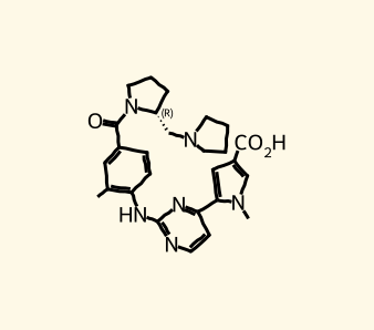 Cc1cc(C(=O)N2CCC[C@@H]2CN2CCCC2)ccc1Nc1nccc(-c2cc(C(=O)O)cn2C)n1